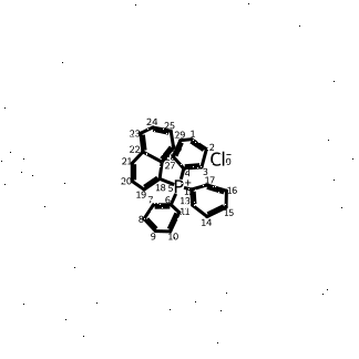 [Cl-].c1ccc([P+](c2ccccc2)(c2ccccc2)c2cccc3ccccc23)cc1